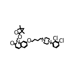 CC1(C)CC1(C)C(=O)OCn1c(=O)ccc2ccc(OCCCCN3CCN(c4cccc(Cl)c4Cl)CC3)cc21